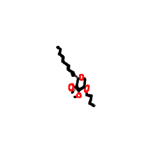 CCCCCCC/C=C/[C@@H]1OC[C@@H](OCCCC)[C@H](OC)[C@]12CO2